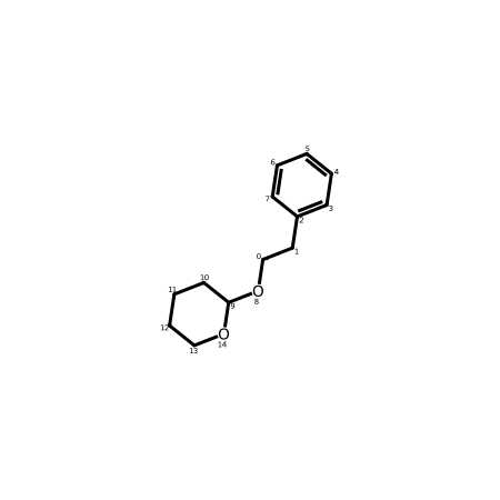 [CH](Cc1ccccc1)OC1CCCCO1